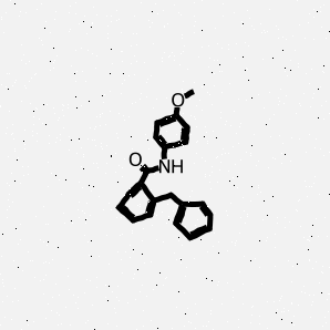 COc1ccc(NC(=O)c2ccccc2Cc2ccccc2)cc1